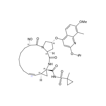 COc1ccc2c(O[C@@H]3C[C@H]4C(=O)N[C@]5(C(=O)NS(=O)(=O)C6(C)CC6)C[C@H]5/C=C\CCCCC[C@H](N=O)C(=O)N4C3)cc(OC(C)C)nc2c1C